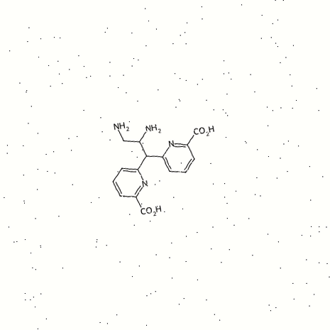 NCC(N)C(c1cccc(C(=O)O)n1)c1cccc(C(=O)O)n1